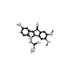 COc1cc2c(cc1OC)-c1c(c3cc(O)ccc3n1CC(=O)[O-])C2=O.[Na+]